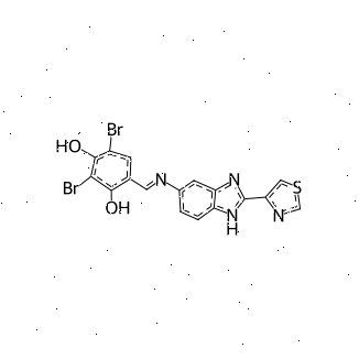 Oc1c(Br)cc(/C=N/c2ccc3[nH]c(-c4cscn4)nc3c2)c(O)c1Br